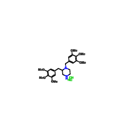 COc1cc(CC2CNCCN2Cc2cc(OC)c(OC)c(OC)c2)cc(OC)c1OC.Cl.Cl